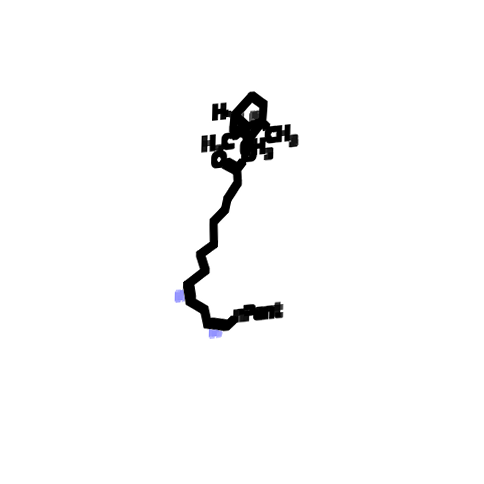 CCCCC/C=C\C/C=C\CCCCCCCC(=O)OC1C[C@H]2CC[C@@]1(C)C2(C)C